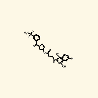 NS(=O)(=O)c1cccc(C(=O)N2CCC(OC(=O)CCNc3n[n+](O)c4cc(Br)ccc4[n+]3[O-])C2)c1